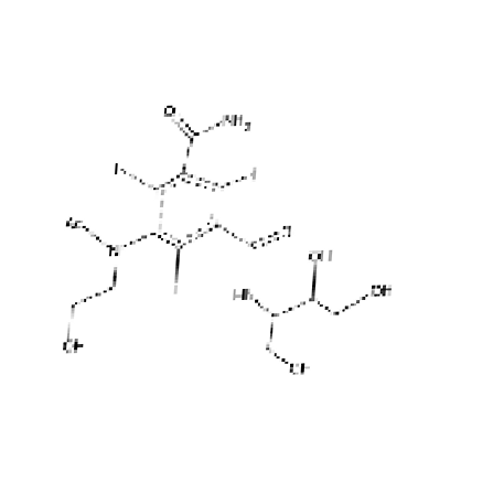 CC(=O)N(CCO)c1c(I)c(C(N)=O)c(I)c(C(=O)NC(CO)C(O)CO)c1I